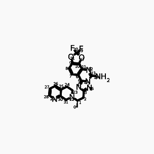 C[C@H](Cc1nc2c3ccc4c(c3nc(N)n2n1)OC(F)(F)O4)N1CCc2cccnc2C1